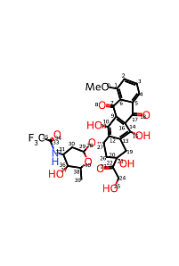 COc1cccc2c1C(=O)c1c(O)c3c(c(O)c1C2=O)C[C@@](O)(C(=O)CO)C[C@@H]3OC1CC(NC(=O)C(F)(F)F)C(O)C(C)O1